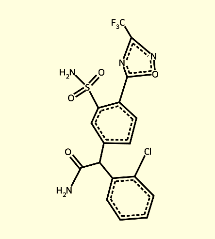 NC(=O)C(c1ccc(-c2nc(C(F)(F)F)no2)c(S(N)(=O)=O)c1)c1ccccc1Cl